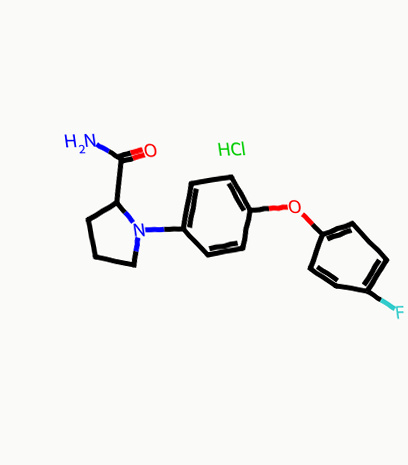 Cl.NC(=O)C1CCCN1c1ccc(Oc2ccc(F)cc2)cc1